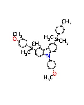 COc1ccc(-n2c3ccc([Si](C)(C)c4ccc(C)cc4)cc3c3cc([Si](C)(C)c4ccc(OC)cc4)ccc32)cc1